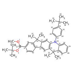 COB(OC(C)(C)C)c1ccc2c(c1)C(C)(C)c1cc3c(cc1-2)C(C)(C)c1ccccc1N3c1ccc(C(C)(C)C)cc1